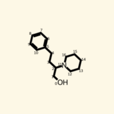 OCC(CCc1ccccc1)N1CCCCC1